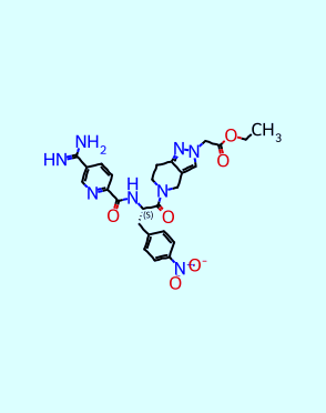 CCOC(=O)Cn1cc2c(n1)CCN(C(=O)[C@H](Cc1ccc([N+](=O)[O-])cc1)NC(=O)c1ccc(C(=N)N)cn1)C2